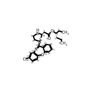 CCC[C@@H](CC)OC(=O)C[C@H]1CN(C2=Nc3cc(Cl)ccc3Oc3ccccc32)CCN1